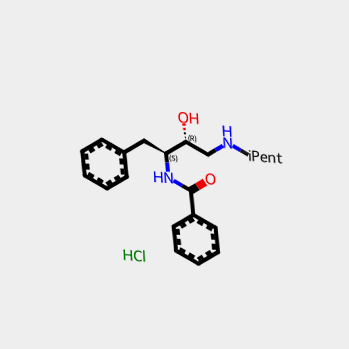 CCCC(C)NC[C@@H](O)[C@H](Cc1ccccc1)NC(=O)c1ccccc1.Cl